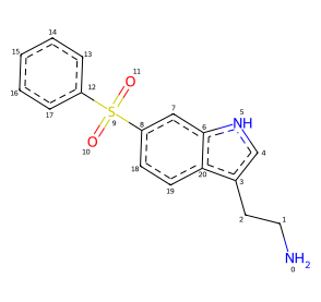 NCCc1c[nH]c2cc(S(=O)(=O)c3ccccc3)ccc12